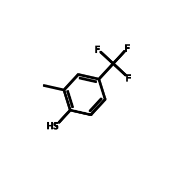 Cc1cc(C(F)(F)F)ccc1S